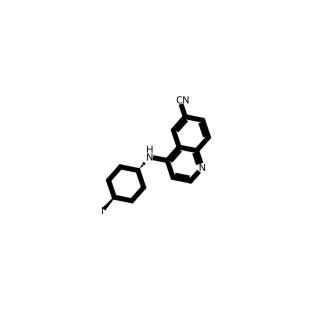 N#Cc1ccc2nccc(N[C@H]3CC[C@H](I)CC3)c2c1